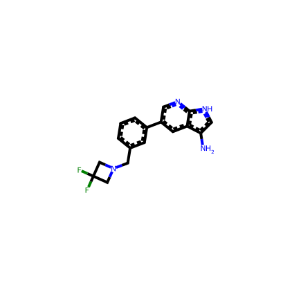 Nc1c[nH]c2ncc(-c3cccc(CN4CC(F)(F)C4)c3)cc12